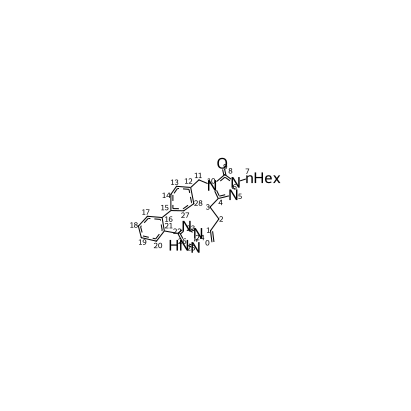 C=CCCc1nn(CCCCCC)c(=O)n1Cc1ccc(-c2ccccc2-c2nnn[nH]2)cc1